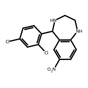 O=[N+]([O-])c1ccc2c(c1)C(c1ccc(Cl)cc1Cl)NCCN2